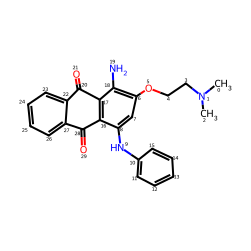 CN(C)CCOc1cc(Nc2ccccc2)c2c(c1N)C(=O)c1ccccc1C2=O